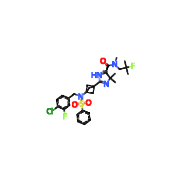 CN(CC(C)(C)F)C(=O)[C@@H]1NC(C23CC(N(Cc4ccc(Cl)c(F)c4)S(=O)(=O)c4ccccc4)(C2)C3)=NC1(C)C